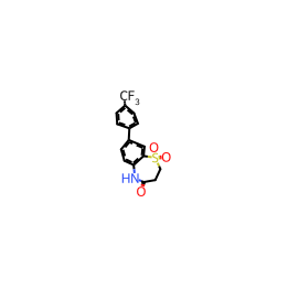 O=C1CCS(=O)(=O)c2cc(-c3ccc(C(F)(F)F)cc3)ccc2N1